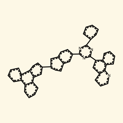 c1ccc(-c2nc(-c3ccc4cc(-c5ccc6c7ccccc7c7ccccc7c6c5)ccc4c3)nc(-c3cc4cccnc4c4ccccc34)n2)cc1